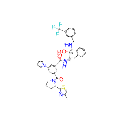 Cc1csc(C2CCCN2C(=O)c2cc(C(=O)N[C@@H](Cc3ccccc3)[C@H](O)CNCc3cccc(C(F)(F)F)c3)cc(-n3cccc3)c2)n1